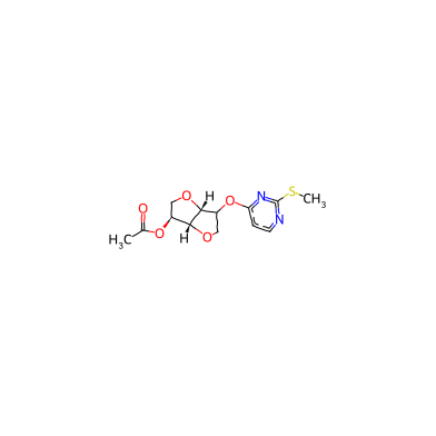 CSc1nccc(OC2CO[C@@H]3[C@@H](OC(C)=O)CO[C@H]23)n1